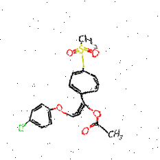 CC(=O)O/C(=C/Oc1ccc(Cl)cc1)c1ccc(S(C)(=O)=O)cc1